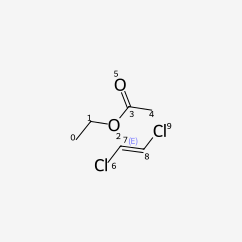 CCOC(C)=O.Cl/C=C/Cl